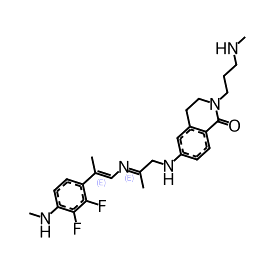 CNCCCN1CCc2cc(NC/C(C)=N/C=C(\C)c3ccc(NC)c(F)c3F)ccc2C1=O